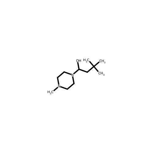 CN1CCN(C(O)CC(C)(C)C)CC1